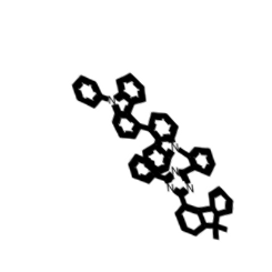 CC1(C)C2CC=CC(c3nc(-c4ccccc4)nc(-c4ccccc4-n4c5ccccc5c5c(-c6cccc7c6c6ccccc6n7-c6ccccc6)cccc54)n3)=C2C2C=CC=CC21